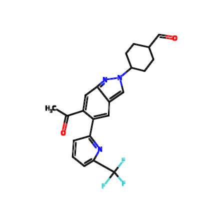 CC(=O)c1cc2nn(C3CCC(C=O)CC3)cc2cc1-c1cccc(C(F)(F)F)n1